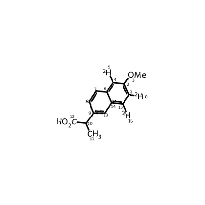 [2H]c1c(OC)c([2H])c2ccc(C(C)C(=O)O)cc2c1[2H]